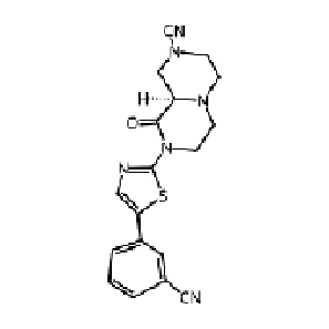 N#Cc1cccc(-c2cnc(N3CCN4CCN(C#N)C[C@@H]4C3=O)s2)c1